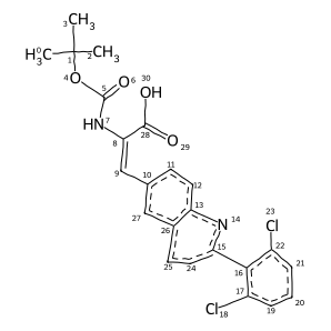 CC(C)(C)OC(=O)N/C(=C/c1ccc2nc(-c3c(Cl)cccc3Cl)ccc2c1)C(=O)O